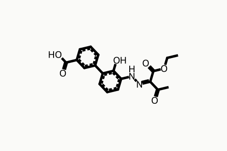 CCOC(=O)C(=NNc1cccc(-c2cccc(C(=O)O)c2)c1O)C(C)=O